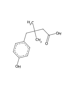 CC(C)(CC(=O)O)Cc1ccc(O)cc1